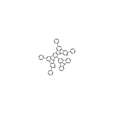 c1ccc(-c2cc3c4cc(-c5ccccc5)ncc4n4c5c(-c6cc7c8ccccc8n8c9ccccc9c(c6)c78)c6c(cc5c(c2)c34)c2cc(-c3ccccc3)cc3c4cc(-c5ccccc5)ncc4n6c32)cc1